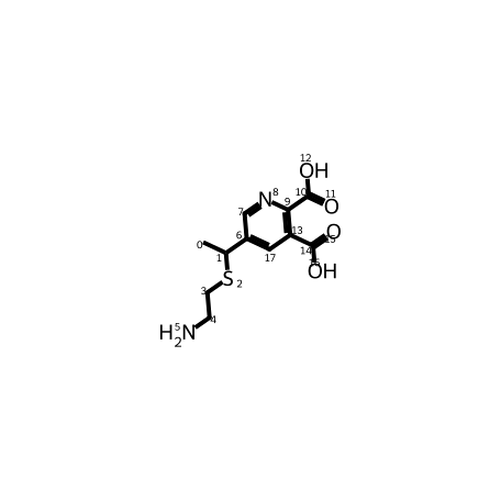 CC(SCCN)c1cnc(C(=O)O)c(C(=O)O)c1